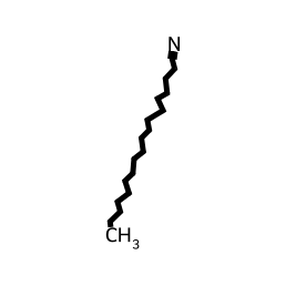 CCCCCCCCCCCCCCCCCC#N